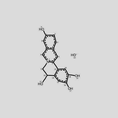 Oc1ccc2cc3[n+](cc2c1)CC(O)c1cc(O)c(O)cc1-3.[OH-]